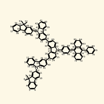 CC1(C)c2ccccc2-c2ccc(-n3c4ccccc4c4cc(-c5ccc6c(c5)c5cc(-c7ccc8c(c7)c7ccccc7n8-c7ccc8c(c7)C(C)(C)C7C=CC=CC87)ccc5n6-c5ccc(-c6c7ccccc7c(-c7ccccc7)c7ccccc67)cc5)ccc43)cc21